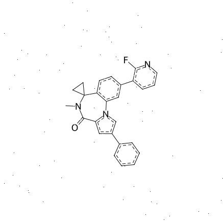 CN1C(=O)c2cc(-c3ccccc3)cn2-c2cc(-c3cccnc3F)ccc2C12CC2